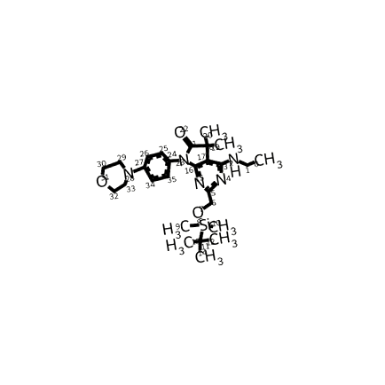 CCNc1nc(CO[Si](C)(C)C(C)(C)C)nc2c1C(C)(C)C(=O)N2c1ccc(N2CCOCC2)cc1